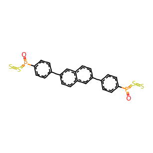 O=P(=S=S)c1ccc(-c2ccc3cc(-c4ccc(P(=O)=S=S)cc4)ccc3c2)cc1